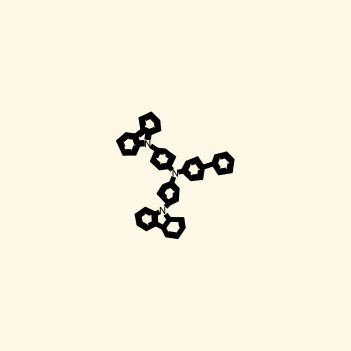 C1=CC2c3ccccc3N(c3ccc(N(c4ccc(-c5ccccc5)cc4)c4ccc(-n5c6ccccc6c6ccccc65)cc4)cc3)C2C=C1